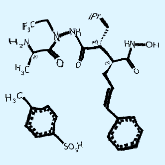 CC(C)C[C@@H](C(=O)NN(CC(F)(F)F)C(=O)[C@@H](C)N)[C@H](CC=Cc1ccccc1)C(=O)NO.Cc1ccc(S(=O)(=O)O)cc1